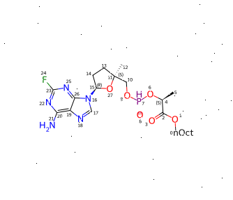 CCCCCCCCOC(=O)[C@H](C)O[PH](=O)OC[C@]1(C)CC[C@H](n2cnc3c(N)nc(F)nc32)O1